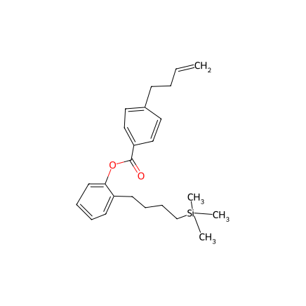 C=CCCc1ccc(C(=O)Oc2ccccc2CCCC[Si](C)(C)C)cc1